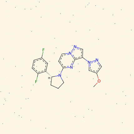 COc1cnn(-c2cnn3ccc(N4CCC[C@@H]4c4cc(F)ccc4F)nc23)c1